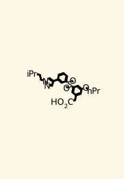 CCCOc1cc(CC(=O)O)cc(S(=O)(=O)c2cccc(-c3cnn(CCC(C)C)c3)c2)c1